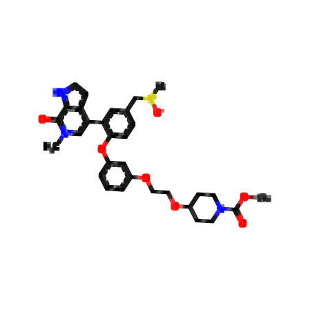 CC[S+]([O-])Cc1ccc(Oc2cccc(OCCOC3CCN(C(=O)OC(C)(C)C)CC3)c2)c(-c2cn(C)c(=O)c3[nH]ccc23)c1